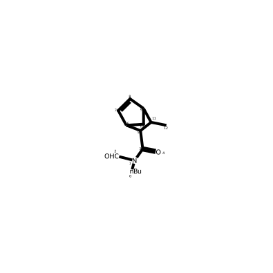 CCCCN(C=O)C(=O)C1C2C=CC(C2)C1C